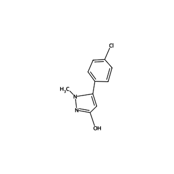 Cn1nc(O)cc1-c1ccc(Cl)cc1